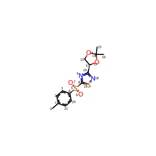 Cc1ccc(S(=O)(=O)c2nc([C@H]3COC(C)(C)O3)ns2)cc1